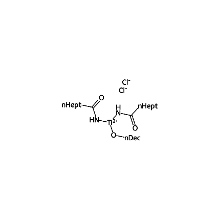 CCCCCCCCCC[O][Ti+2]([NH]C(=O)CCCCCCC)[NH]C(=O)CCCCCCC.[Cl-].[Cl-]